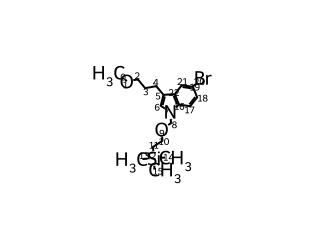 COCCCc1cn(COCC[Si](C)(C)C)c2ccc(Br)cc12